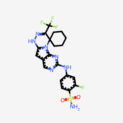 NS(=O)(=O)c1ccc(Nc2ncc3cc4n(c3n2)C2(CCCCC2)C(C(F)(F)F)=NN4)cc1F